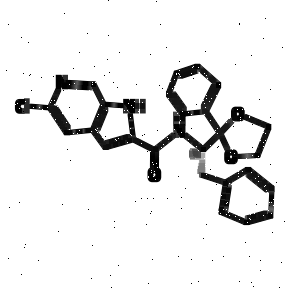 O=C(N[C@@H](Cc1ccccc1)C1(c2ccccc2)OCCO1)c1cc2cc(Cl)ncc2[nH]1